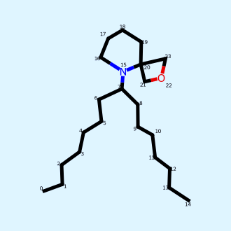 CCCCCCCC(CCCCCCC)N1CCCCC12COC2